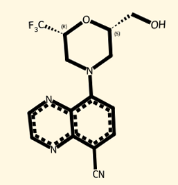 N#Cc1ccc(N2C[C@@H](CO)O[C@@H](C(F)(F)F)C2)c2nccnc12